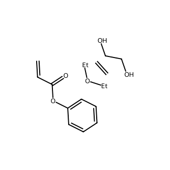 C=C.C=CC(=O)Oc1ccccc1.CCOCC.OCCO